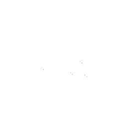 CC(C)(C)c1nc(-c2cccc(-c3ccccn3)c2)nc(C(C)(C)C)n1